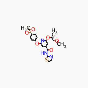 COC[C@@H](C)Oc1cc(C(=O)Nc2nccs2)cc(Oc2ccc(S(C)(=O)=O)cc2)n1